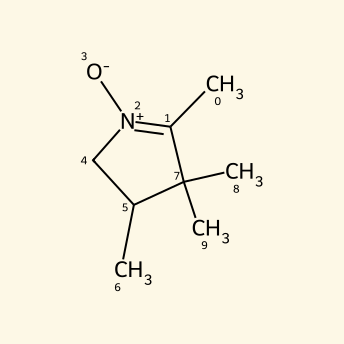 CC1=[N+]([O-])CC(C)C1(C)C